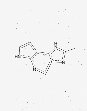 Cc1nc2cnc3[nH]ccc3c2[nH]1